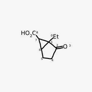 CCC12C(=O)CCC1C2C(=O)O